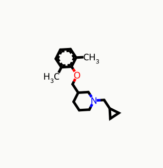 Cc1cccc(C)c1OCC1CCCN(CC2CC2)C1